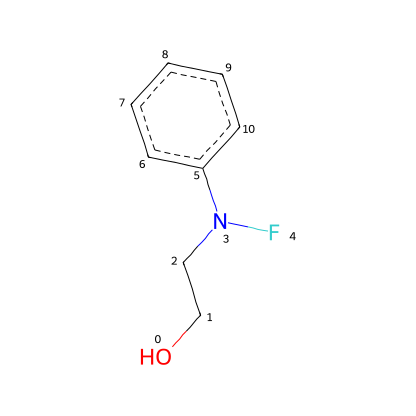 OCCN(F)c1ccccc1